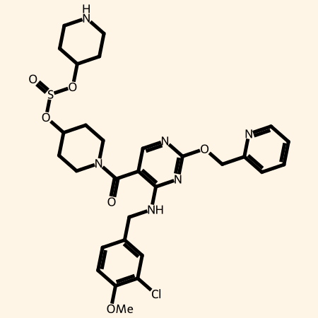 COc1ccc(CNc2nc(OCc3ccccn3)ncc2C(=O)N2CCC(OS(=O)OC3CCNCC3)CC2)cc1Cl